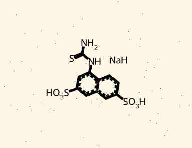 NC(=S)Nc1cc(S(=O)(=O)O)cc2cc(S(=O)(=O)O)ccc12.[NaH]